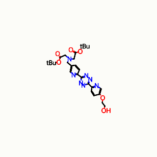 CC(C)(C)OC(=O)CN(CC(=O)OC(C)(C)C)Cc1ccc(-c2nnc(-c3ccc(OCCO)cn3)nn2)nc1